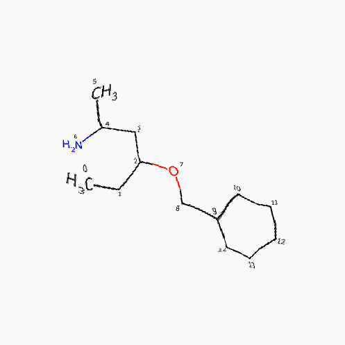 CCC([CH]C(C)N)OCC1CCCCC1